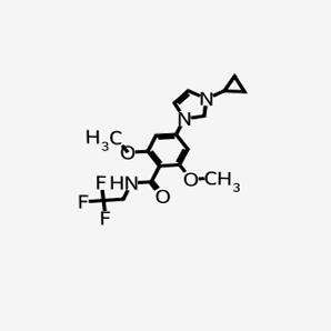 COc1cc(N2C=CN(C3CC3)C2)cc(OC)c1C(=O)NCC(F)(F)F